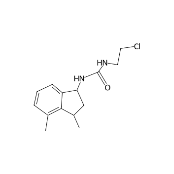 Cc1cccc2c1C(C)CC2NC(=O)NCCCl